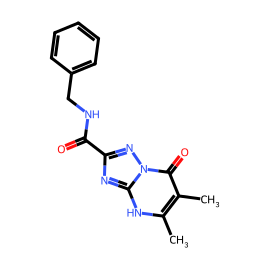 Cc1[nH]c2nc(C(=O)NCc3ccccc3)nn2c(=O)c1C